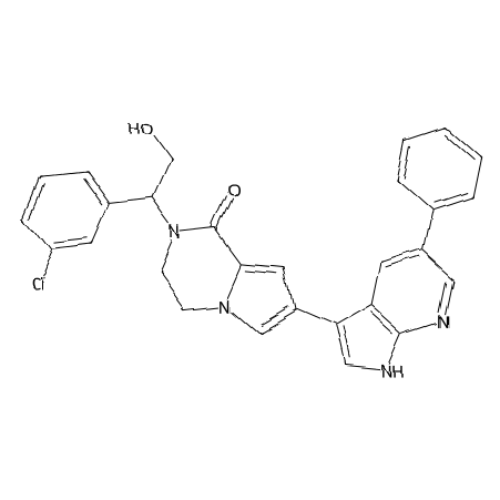 O=C1c2cc(-c3c[nH]c4ncc(-c5ccccc5)cc34)cn2CCN1C(CO)c1cccc(Cl)c1